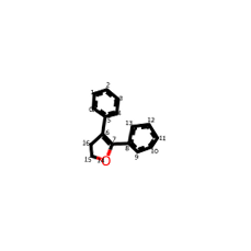 [c]1ccccc1C1=C(c2ccccc2)OCC1